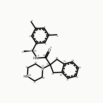 Cc1cc(C)cc([C@H](C)NC(=O)C2(N3CCNCC3)Cc3ccccc3C2)c1